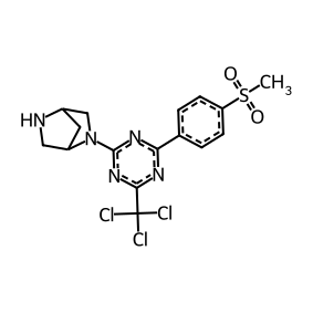 CS(=O)(=O)c1ccc(-c2nc(N3CC4CC3CN4)nc(C(Cl)(Cl)Cl)n2)cc1